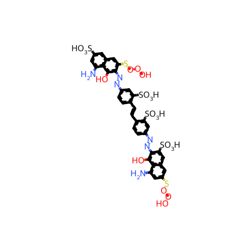 Nc1cc(S(=O)(=O)O)cc2cc(SOOO)c(N=Nc3ccc(C=Cc4ccc(N=Nc5c(S(=O)(=O)O)cc6cc(SOOO)cc(N)c6c5O)cc4S(=O)(=O)O)c(S(=O)(=O)O)c3)c(O)c12